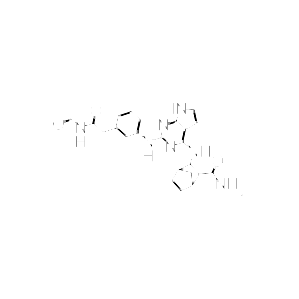 NC(=O)C1C2C=CC(C2)C1Nc1nc(Nc2cccc(CC(=O)NC=O)c2)nc2[nH]ccc12